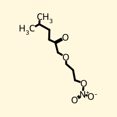 CC(C)CCC(=O)COCCCO[N+](=O)[O-]